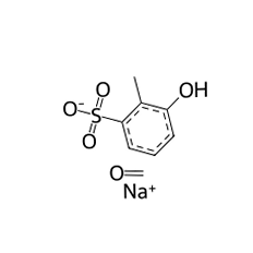 C=O.Cc1c(O)cccc1S(=O)(=O)[O-].[Na+]